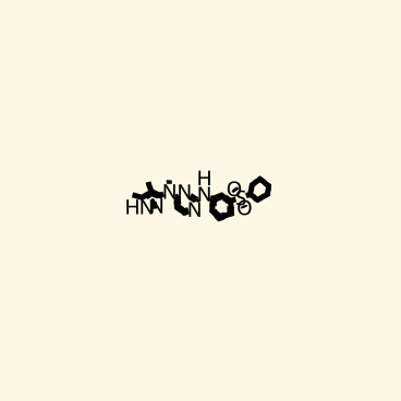 Cc1[nH]nc(N(C)c2ccnc(Nc3cccc(S(=O)(=O)C4CCCCC4)c3)n2)c1C